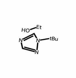 CC(C)(C)n1cncn1.CCO